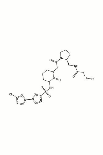 CCOCC(=O)NC[C@@H]1CCCN1C(=O)CN1CCCC(NS(=O)(=O)c2ccc(-c3ccc(Cl)s3)s2)C1=O